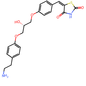 NCCc1ccc(OC[C@H](O)COc2ccc(C=C3SC(=O)NC3=O)cc2)cc1